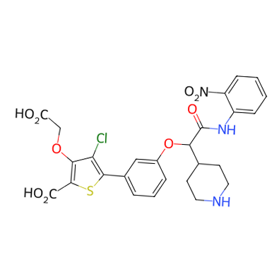 O=C(O)COc1c(C(=O)O)sc(-c2cccc(OC(C(=O)Nc3ccccc3[N+](=O)[O-])C3CCNCC3)c2)c1Cl